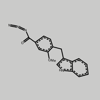 COc1cc(C(=O)N=[N+]=[N-])ccc1Cc1c[nH]c2ccccc12